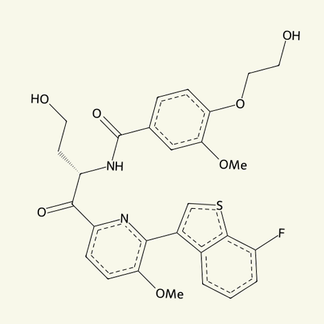 COc1cc(C(=O)N[C@@H](CCO)C(=O)c2ccc(OC)c(-c3csc4c(F)cccc34)n2)ccc1OCCO